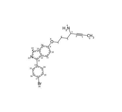 CC#CC(N)CCCOc1ccc2c(-c3ccc(Br)cc3)nsc2c1